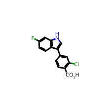 O=C(O)c1ccc(-c2c[nH]c3cc(F)ccc23)cc1Cl